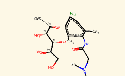 CCN(CC)CC(=O)Nc1c(C)cccc1C.Cl.O=C[C@H](O)[C@@H](O)[C@H](O)[C@H](O)CO